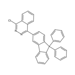 Clc1nnc(-c2ccc3c(c2)-c2ccccc2C3(c2ccccc2)c2ccccc2)c2ccccc12